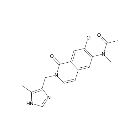 CC(=O)N(C)c1cc2ccn(Cc3nc[nH]c3C)c(=O)c2cc1Cl